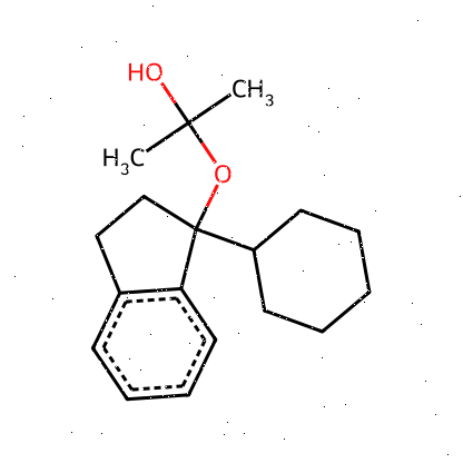 CC(C)(O)OC1(C2CCCCC2)CCc2ccccc21